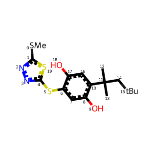 CSc1nnc(Sc2cc(O)c(C(C)(C)CC(C)(C)C)cc2O)s1